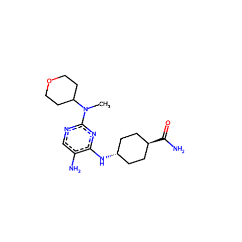 CN(c1ncc(N)c(N[C@H]2CC[C@H](C(N)=O)CC2)n1)C1CCOCC1